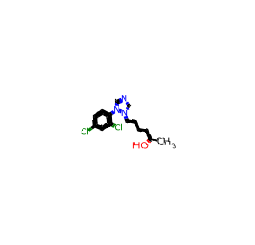 C[C@@H](O)CCCCN1CN=CN1c1ccc(Cl)cc1Cl